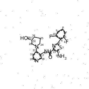 Nc1sc(-c2c(F)cccc2F)nc1C(=O)Nc1cnccc1N1CCC[C@H](O)C1